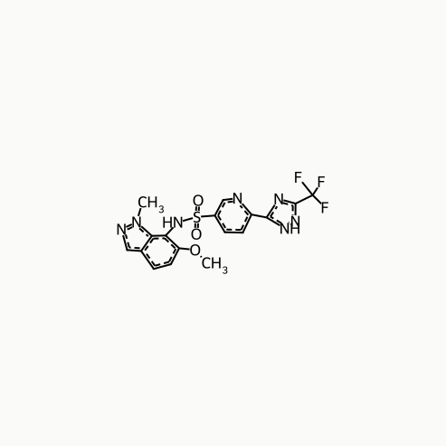 COc1ccc2cnn(C)c2c1NS(=O)(=O)c1ccc(-c2nc(C(F)(F)F)n[nH]2)nc1